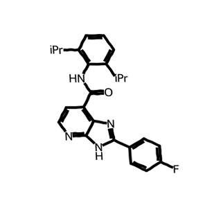 CC(C)c1cccc(C(C)C)c1NC(=O)c1ccnc2[nH]c(-c3ccc(F)cc3)nc12